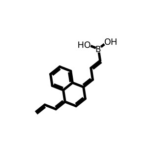 C=C/C=c1/cc/c(=C/C=C/B(O)O)c2ccccc12